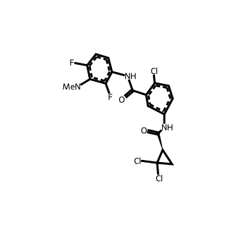 CNc1c(F)ccc(NC(=O)c2cc(NC(=O)[C@H]3CC3(Cl)Cl)ccc2Cl)c1F